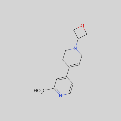 O=C(O)c1cc(C2=CCN(C3COC3)CC2)ccn1